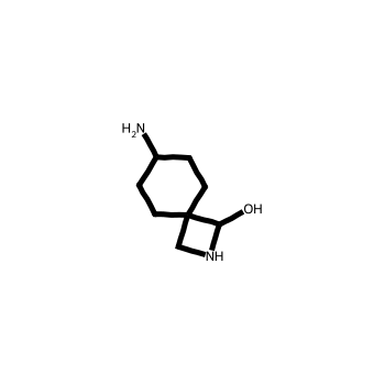 NC1CCC2(CC1)CNC2O